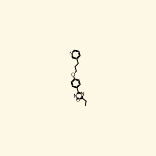 CCc1nc(-c2ccc(OCCCc3cccnc3)cc2)no1